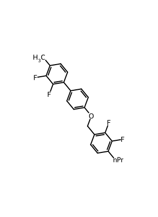 CCCc1ccc(COc2ccc(-c3ccc(C)c(F)c3F)cc2)c(F)c1F